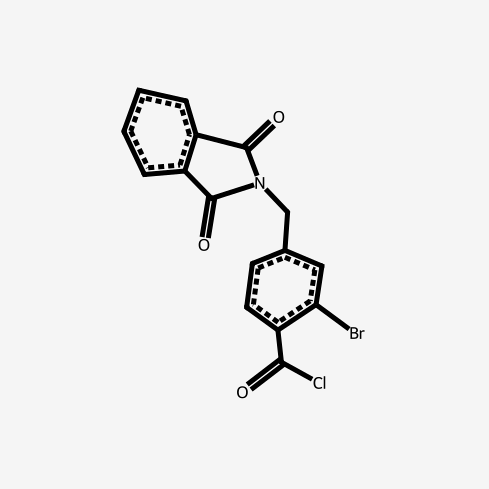 O=C(Cl)c1ccc(CN2C(=O)c3ccccc3C2=O)cc1Br